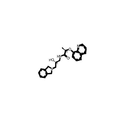 C[C@@H](Oc1cccc2cccnc12)C(=O)NC[C@@H](O)CN1Cc2ccccc2C1